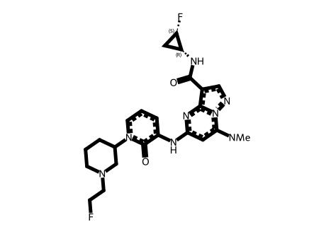 CNc1cc(Nc2cccn(C3CCCN(CCF)C3)c2=O)nc2c(C(=O)N[C@@H]3C[C@@H]3F)cnn12